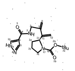 C=C(CNC(=O)c1cn[nH]c1)C(=C)[C@@H]1CCCN1C(=O)OC(C)(C)C